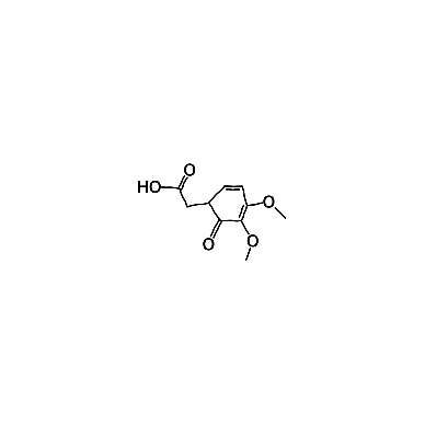 COC1=C(OC)C(=O)C(CC(=O)O)C=C1